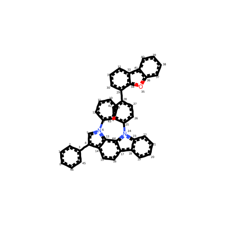 c1ccc(-c2cn(-c3ccccc3)c3c2ccc2c4ccccc4n(-c4ccc(-c5cccc6c5oc5ccccc56)cc4)c23)cc1